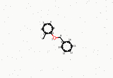 Cc1ccc[c]c1OCc1ccccc1